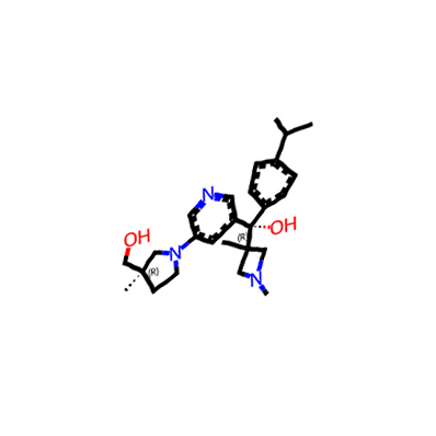 CC(C)c1ccc([C@](O)(c2cncc(N3CC[C@@](C)(CO)C3)c2)C2(C)CN(C)C2)cc1